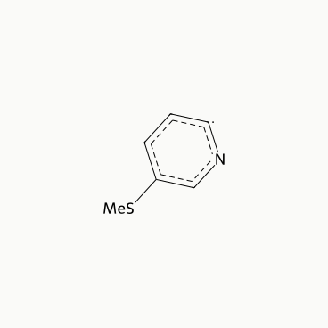 CSc1cc[c]nc1